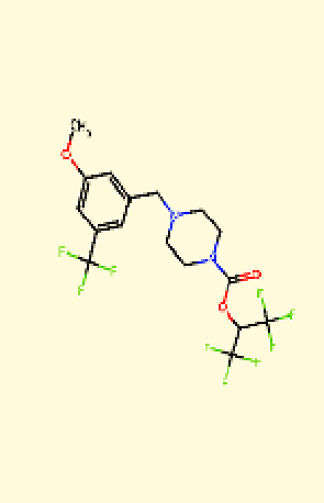 COc1cc(CN2CCN(C(=O)OC(C(F)(F)F)C(F)(F)F)CC2)cc(C(F)(F)F)c1